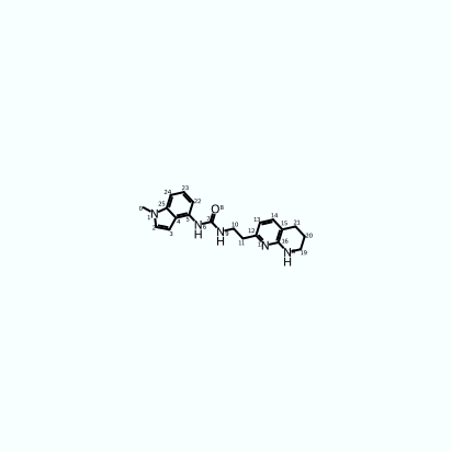 Cn1ccc2c(NC(=O)NCCc3ccc4c(n3)NCCC4)cccc21